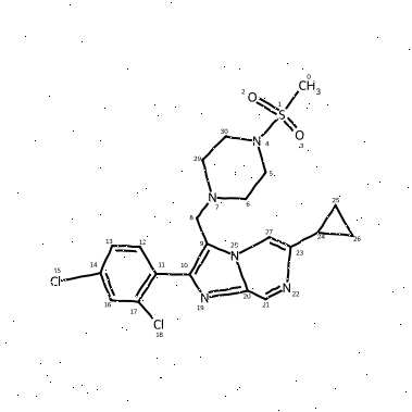 CS(=O)(=O)N1CCN(Cc2c(-c3ccc(Cl)cc3Cl)nc3cnc(C4CC4)cn23)CC1